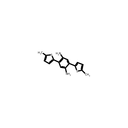 Cc1ccc(-c2cc(N)c(-c3ccc(C)s3)cc2N)s1